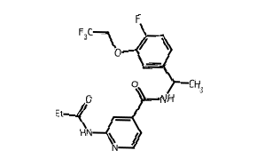 CCC(=O)Nc1cc(C(=O)NC(C)c2ccc(F)c(OCC(F)(F)F)c2)ccn1